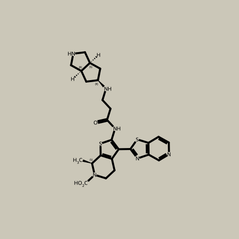 C[C@H]1c2sc(NC(=O)CCN[C@H]3C[C@H]4CNC[C@H]4C3)c(-c3nc4cnccc4s3)c2CCN1C(=O)O